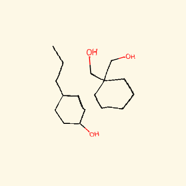 CCCC1CCC(O)CC1.OCC1(CO)CCCCC1